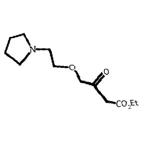 CCOC(=O)CC(=O)COCCN1CCCC1